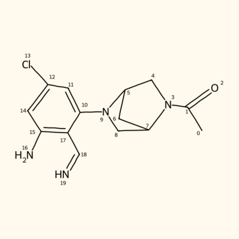 CC(=O)N1CC2CC1CN2c1cc(Cl)cc(N)c1C=N